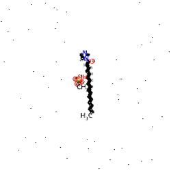 CCCCCCCCC=CCCCCCCCC(=O)N1C=NCC1.COS(=O)(=O)O